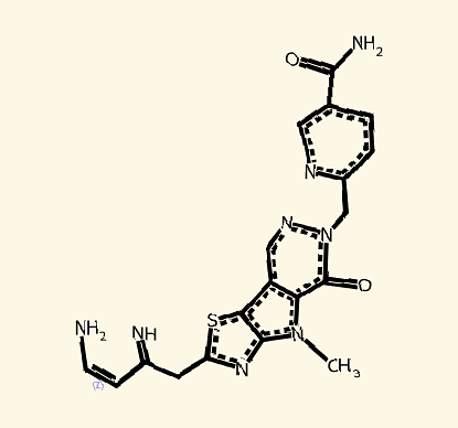 Cn1c2nc(CC(=N)/C=C\N)sc2c2cnn(Cc3ccc(C(N)=O)cn3)c(=O)c21